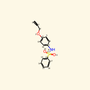 C#CCOc1ccc(NS(=O)(=O)c2ccccc2)cc1